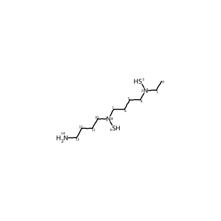 CCN(S)CCCCN(S)CCCCN